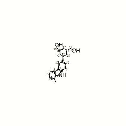 Cc1nccc2c1[nH]c1ccc(C3C=C(CO)C=C(CO)C3)cc12